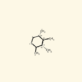 CC1SC[C@H](C)[C@@H](C)[C@@H]1C